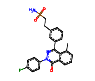 Cc1cccc2c(=O)n(-c3ccc(F)cc3)nc(-c3cccc(CCS(N)(=O)=O)c3)c12